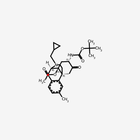 CC(=O)O[C@@]12C[C@H](NC(=O)OC(C)(C)C)C(=O)C[C@@]13CCN(CC1CC1)[C@@H]2Cc1ccc(C)cc13